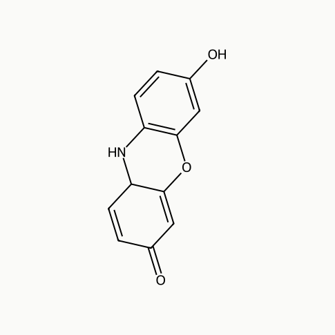 O=C1C=CC2Nc3ccc(O)cc3OC2=C1